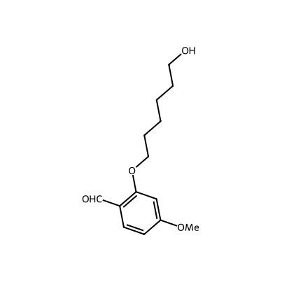 COc1ccc(C=O)c(OCCCCCCO)c1